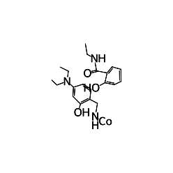 CCN(CC)c1ccc(C[NH][Co])c(O)c1.CCNC(=O)c1ccccc1O